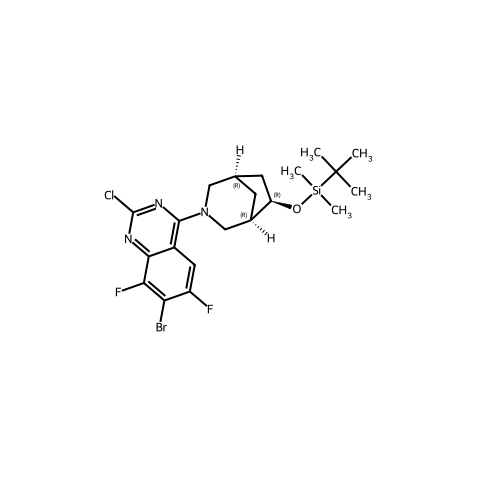 CC(C)(C)[Si](C)(C)O[C@@H]1C[C@H]2C[C@@H]1CN(c1nc(Cl)nc3c(F)c(Br)c(F)cc13)C2